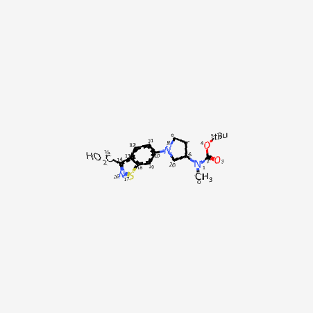 CN(C(=O)OC(C)(C)C)C1CCN(c2ccc3c(C(=O)O)nsc3c2)C1